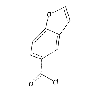 O=C(Cl)c1ccc2occc2c1